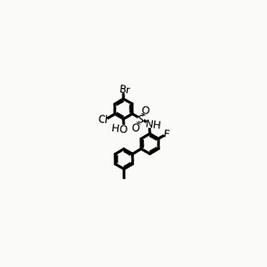 Cc1cccc(-c2ccc(F)c(NS(=O)(=O)c3cc(Br)cc(Cl)c3O)c2)c1